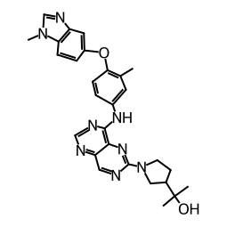 Cc1cc(Nc2ncnc3cnc(N4CCC(C(C)(C)O)C4)nc23)ccc1Oc1ccc2c(c1)ncn2C